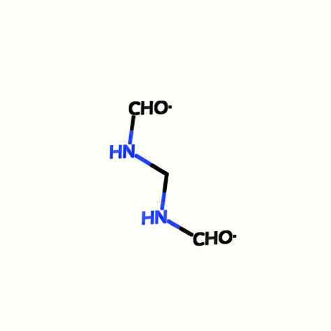 O=[C]NCN[C]=O